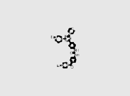 CCN1CCN(C(=O)c2ccc(NC(=O)Nc3ccc(-c4nc(N5CCOCC5)nc(N5CCCN(CC)CC5)n4)cc3)cc2)CC1